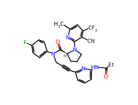 CCC(=O)Nc1cccc(C#CCN(C(=O)[C@@H]2CCCN2c2nc(C)cc(C(F)(F)F)c2C#N)c2ccc(F)cc2)n1